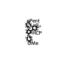 CCCCCN1CCN(c2ccc(N3CCC(OC)CC3)cc2C2CCC(C)(C)CC2)CC1.Cl